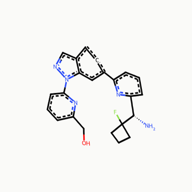 N[C@@H](c1cccc(-c2ccc3cnn(-c4cccc(CO)n4)c3c2)n1)C1(F)CCC1